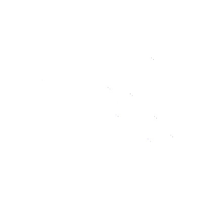 CC(C)(C)Nc1ncc2nc(Nc3cc(Cl)cc(OC(F)(F)F)c3)n(C3CCNCC3)c2n1